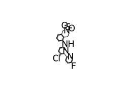 CS(=O)(=O)N1CCc2c(cccc2Nc2ccc(Cl)c(-c3ccc(F)cn3)n2)C1